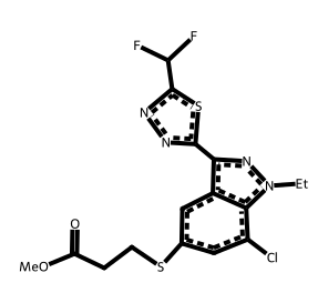 CCn1nc(-c2nnc(C(F)F)s2)c2cc(SCCC(=O)OC)cc(Cl)c21